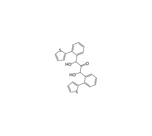 O=C(C(O)c1ccccc1-c1cccs1)C(O)c1ccccc1-c1cccs1